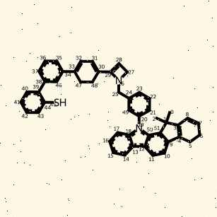 CC1(C)C2=C(CCC=C2)c2ccc3c4ccccc4n(-c4cccc(CN5CC=C5C5=CC=C(c6cccc(-c7ccccc7S)c6)CC5)c4)c3c21